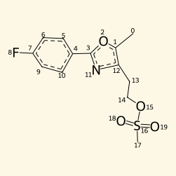 Cc1oc(-c2ccc(F)cc2)nc1CCOS(C)(=O)=O